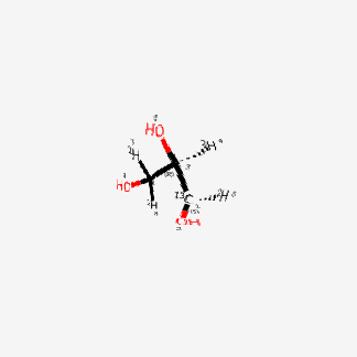 [2H][13C@H](O)[C@]([2H])(O)C([2H])([2H])O